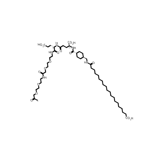 O=C(O)CCCCCCCCCCCCCCCCCCC(=O)NC[C@H]1CC[C@H](C(=O)N[C@@H](CCC(=O)N[C@@H](CCC(=O)O)C(=O)NCCOCCOCC(=O)NCCOCCOCC(=O)I)C(=O)O)CC1